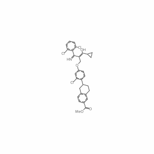 COC(=O)c1ccc2c(c1)CCC(c1ccc(OC/C(C(=N)c3c(Cl)cccc3Cl)=C(/O)C3CC3)cc1Cl)C2